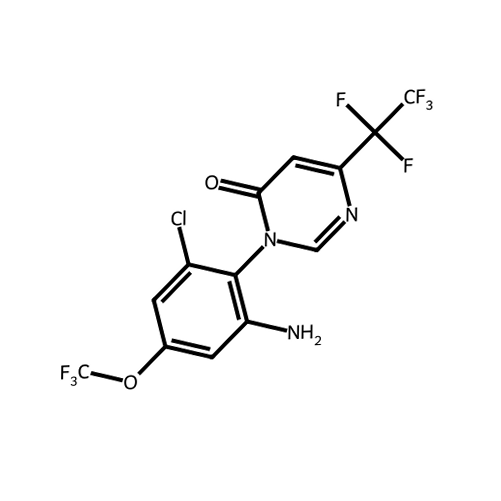 Nc1cc(OC(F)(F)F)cc(Cl)c1-n1cnc(C(F)(F)C(F)(F)F)cc1=O